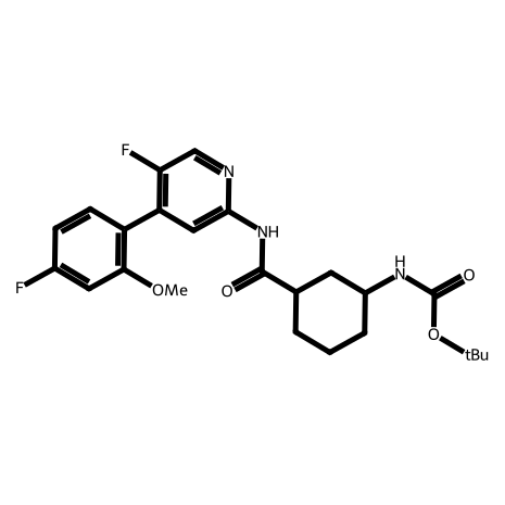 COc1cc(F)ccc1-c1cc(NC(=O)C2CCCC(NC(=O)OC(C)(C)C)C2)ncc1F